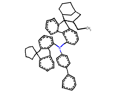 CCC1CC2CCCC(C2)C12c1ccccc1-c1c(N(c3ccc(-c4ccccc4)cc3)c3cccc4c3-c3ccccc3C43CCCC3)cccc12